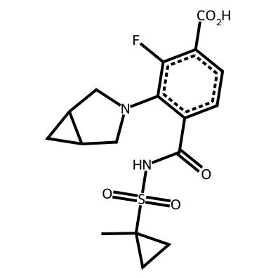 CC1(S(=O)(=O)NC(=O)c2ccc(C(=O)O)c(F)c2N2CC3CC3C2)CC1